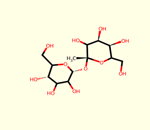 C[C@]1(O[C@H]2OC(CO)[C@@H](O)C(O)C2O)OC(CO)[C@H](O)[C@H](O)C1O